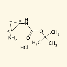 CC(C)(C)OC(=O)N[C@@H]1C[C@H]1N.Cl